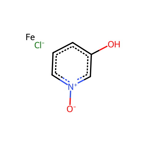 [Cl-].[Fe].[O-][n+]1cccc(O)c1